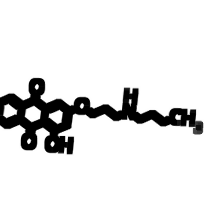 CCCCNCCCOc1cc(O)c2c(c1)C(=O)c1ccccc1C2=O